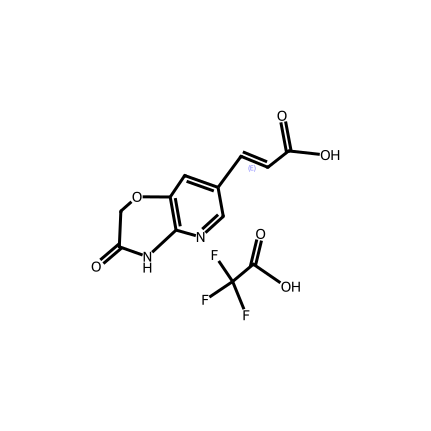 O=C(O)/C=C/c1cnc2c(c1)OCC(=O)N2.O=C(O)C(F)(F)F